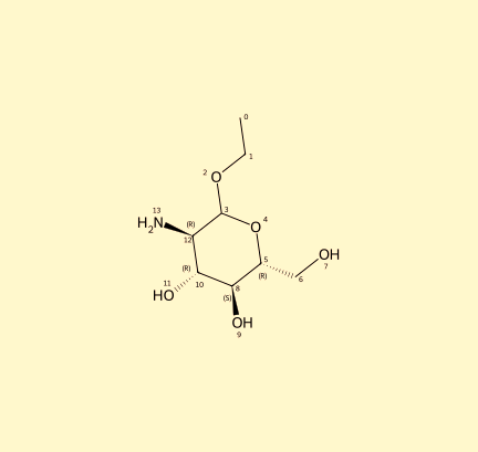 CCOC1O[C@H](CO)[C@@H](O)[C@H](O)[C@H]1N